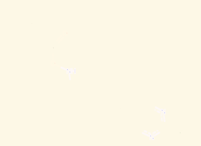 CC(C)(C)CC(=O)ONCc1ccc(-c2cnc(Cl)nc2)cc1